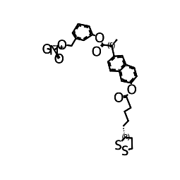 C[C@H](C(=O)Oc1cccc(CO[N+](=O)[O-])c1)c1ccc2cc(OC(=O)CCCC[C@@H]3CCSS3)ccc2c1